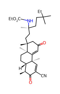 CCOC(=O)N[C@@](C)(CCC(C)(C)CC)CC[C@]1(C)CC(=O)C=C2[C@@]3(C)C=C(C#N)C(=O)[C@@H](C)[C@@H]3CC[C@]21C